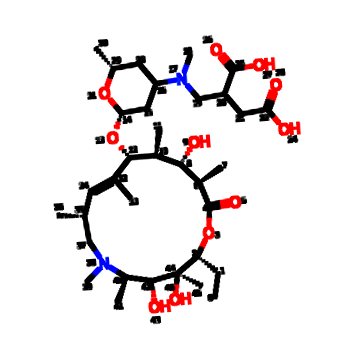 CC[C@H]1OC(=O)[C@H](C)[C@@H](O)[C@H](C)[C@@H](O[C@H]2CC(N(C)CC(CC(=O)O)C(=O)O)C[C@@H](C)O2)/C(C)=C/[C@@H](C)CN(C)[C@H](C)[C@@H](O)[C@]1(C)O